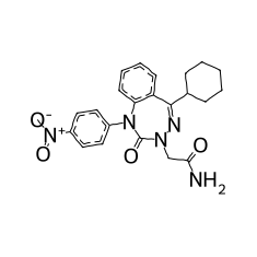 NC(=O)CN1N=C(C2CCCCC2)c2ccccc2N(c2ccc([N+](=O)[O-])cc2)C1=O